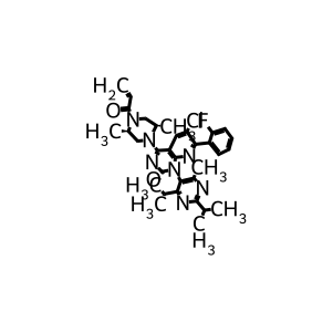 C=CC(=O)N1C[C@H](C)N(c2nc(=O)n(-c3c(C)nc(C(C)C)nc3C(C)C)c3nc(-c4ccccc4F)c(Cl)cc23)C[C@H]1C